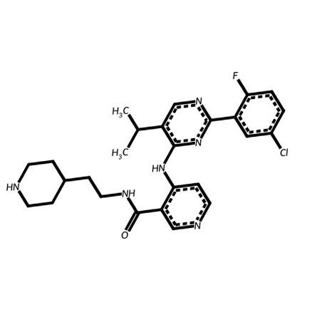 CC(C)c1cnc(-c2cc(Cl)ccc2F)nc1Nc1ccncc1C(=O)NCCC1CCNCC1